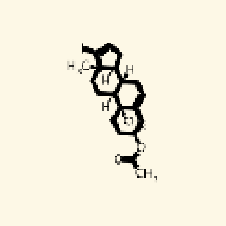 CC(=O)O[C@H]1CC[C@@]2(C)C(=CC[C@@H]3[C@@H]2CC[C@]2(C)C(I)=CC[C@@H]32)C1